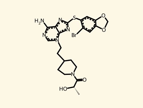 C[C@H](O)C(=O)N1CCC(CCn2cnc(N)c3nc(Sc4cc5c(cc4Br)OCO5)nc2-3)CC1